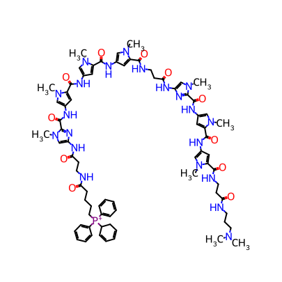 CN(C)CCCNC(=O)CCNC(=O)c1cc(NC(=O)c2cc(NC(=O)c3nc(NC(=O)CCNC(=O)c4cc(NC(=O)c5cc(NC(=O)c6cc(NC(=O)c7nc(NC(=O)CCNC(=O)CCCC[P+](c8ccccc8)(c8ccccc8)C8C=CC=CC8)cn7C)cn6C)cn5C)cn4C)cn3C)cn2C)cn1C